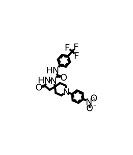 O=C1CC2(CCN(c3ccc([N+](=O)[O-])cc3)CC2)N(C(=O)Nc2ccc(C(F)(F)F)cc2)N1